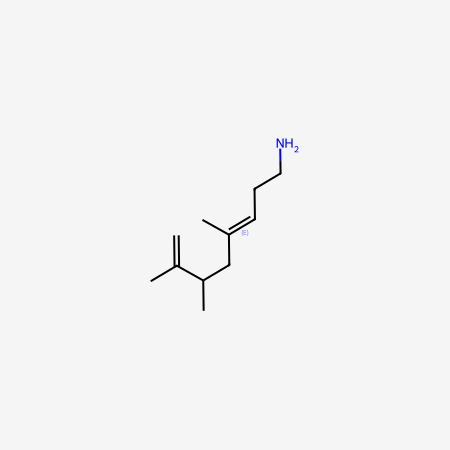 C=C(C)C(C)C/C(C)=C/CCN